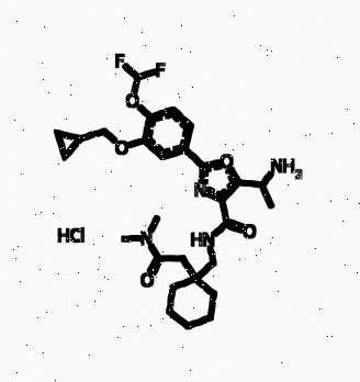 CC(N)c1oc(-c2ccc(OC(F)F)c(OCC3CC3)c2)nc1C(=O)NCC1(CC(=O)N(C)C)CCCCC1.Cl